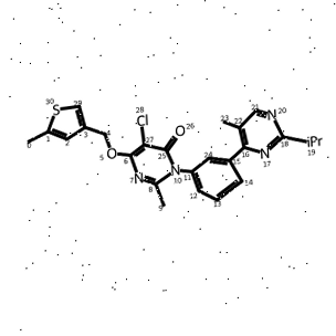 Cc1cc(COc2nc(C)n(-c3cccc(-c4nc(C(C)C)ncc4C)c3)c(=O)c2Cl)cs1